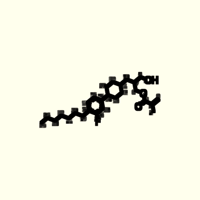 C=C(C)C(=O)OCC(CO)CC1CCC(c2ccc(CCCCCCC)c(F)c2)CC1